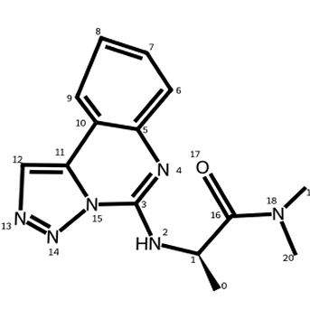 C[C@@H](Nc1nc2ccccc2c2cnnn12)C(=O)N(C)C